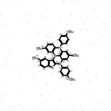 CC(C)(C)c1ccc(N2c3ccc(C(C)(C)C)cc3B3c4c2cc(C(C)(C)C)cc4N(c2ccc(C(C)(C)C)cc2)c2sc4ccc(C(C)(C)C)cc4c23)cc1